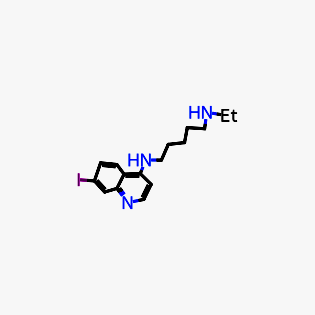 CCNCCCCCNc1ccnc2cc(I)ccc12